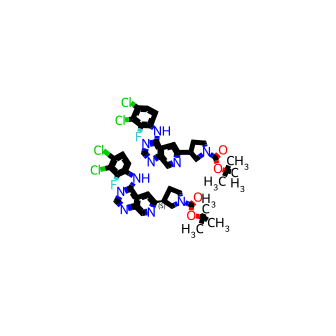 CC(C)(C)OC(=O)N1CCC(c2cc3c(Nc4ccc(Cl)c(Cl)c4F)ncnc3cn2)C1.CC(C)(C)OC(=O)N1CC[C@H](c2cc3c(Nc4ccc(Cl)c(Cl)c4F)ncnc3cn2)C1